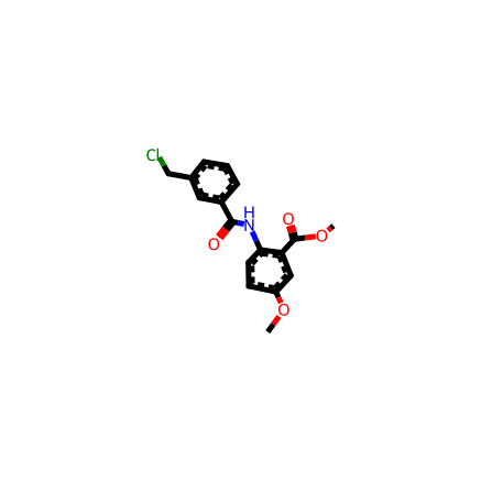 COC(=O)c1cc(OC)ccc1NC(=O)c1cccc(CCl)c1